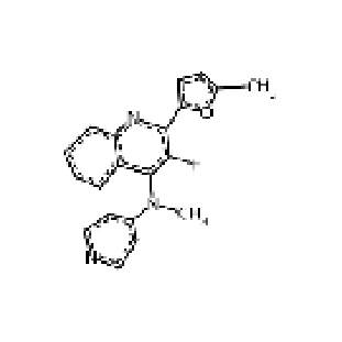 Cc1ccc(-c2nc3ccccc3c(N(C)c3ccncc3)c2F)o1